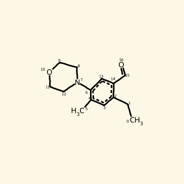 CCc1cc(C)c(N2CCOCC2)cc1C=O